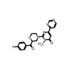 Cn1c(N2CCOC(C(=O)c3ccc(F)cc3)C2)nc(-c2ccncn2)cc1=O